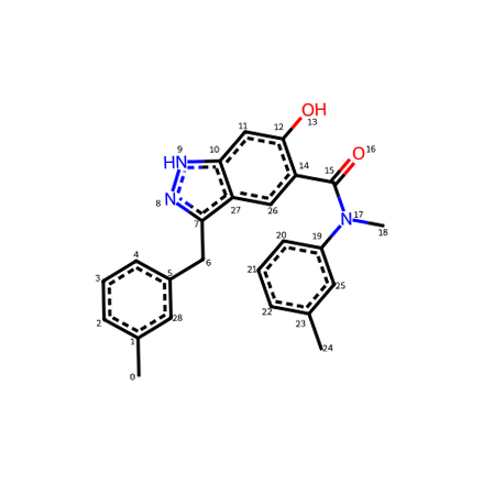 Cc1cccc(Cc2n[nH]c3cc(O)c(C(=O)N(C)c4cccc(C)c4)cc23)c1